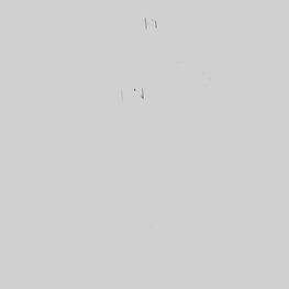 CC(C)C(=O)Nc1ccc(F)cc1F